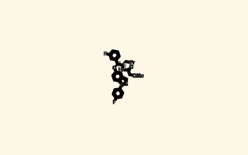 COCC(=O)N[C@@H](CC(C)C)[C@@H](Oc1ccc2c(cnn2-c2ccc(F)cc2)c1)c1cccc(F)c1